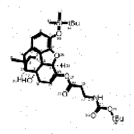 CC1CC[C@]23c4c5ccc(O[Si](C)(C)C(C)(C)C)c4O[C@H]2C(OC(=O)CCNC(=O)OC(C)(C)C)=CC[C@@]3(O)[C@H]1C5